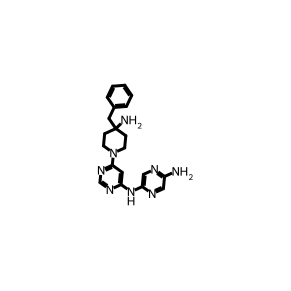 Nc1cnc(Nc2cc(N3CCC(N)(Cc4ccccc4)CC3)ncn2)cn1